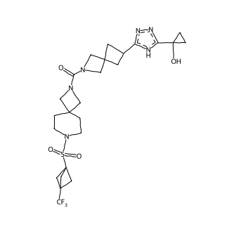 O=C(N1CC2(CCN(S(=O)(=O)C34CC(C(F)(F)F)(C3)C4)CC2)C1)N1CC2(CC(c3nnc(C4(O)CC4)[nH]3)C2)C1